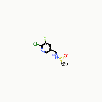 CC(C)(C)[S+]([O-])/N=C/c1cnc(Cl)c(F)c1